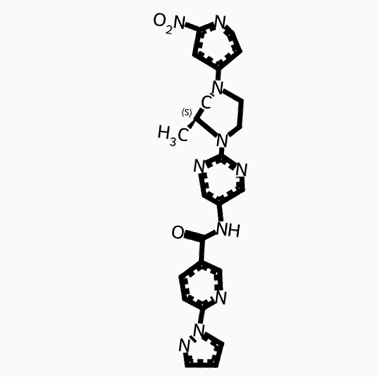 C[C@H]1CN(c2ccnc([N+](=O)[O-])c2)CCN1c1ncc(NC(=O)c2ccc(-n3cccn3)nc2)cn1